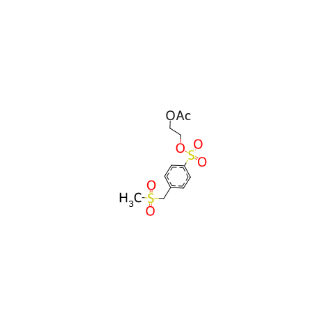 CC(=O)OCCOS(=O)(=O)c1ccc(CS(C)(=O)=O)cc1